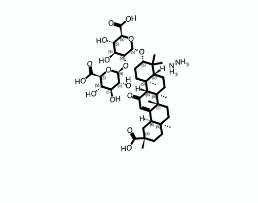 CC1(C)[C@@H](O[C@H]2O[C@H](C(=O)O)[C@@H](O)[C@H](O)[C@H]2O[C@@H]2O[C@H](C(=O)O)[C@@H](O)[C@H](O)[C@H]2O)CC[C@]2(C)[C@H]3C(=O)C=C4[C@@H]5C[C@@](C)(C(=O)O)CC[C@]5(C)CC[C@@]4(C)[C@]3(C)CC[C@@H]12.N.N